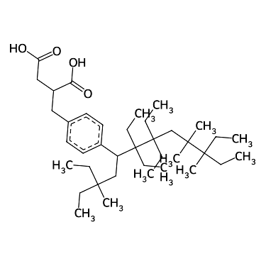 CCC(C)(CC)CC(c1ccc(CC(CC(=O)O)C(=O)O)cc1)C(CC)(CC)C(CC)(CC)CC(C)(C)C(C)(CC)CC